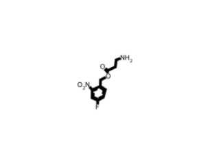 NCCC(=O)OCc1ccc(F)cc1[N+](=O)[O-]